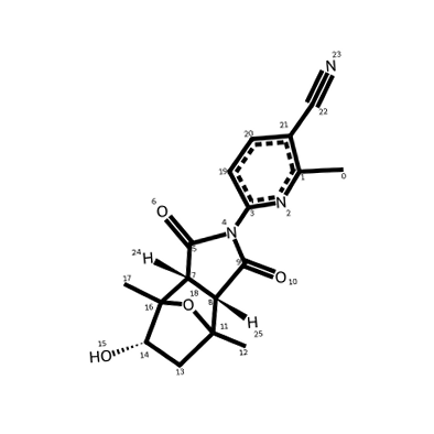 Cc1nc(N2C(=O)[C@@H]3[C@H](C2=O)C2(C)C[C@H](O)C3(C)O2)ccc1C#N